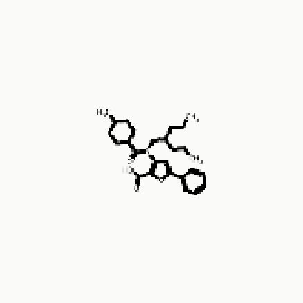 CCCC(CCC)CN(C(=O)C1CCC(C)CC1)c1cc(-c2ccccc2)sc1C(=O)O